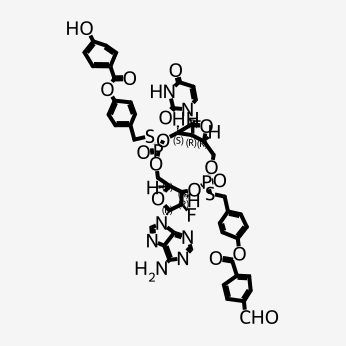 Nc1ncnc2c1ncn2[C@@H]1O[C@@H]2COP(=O)(SCc3ccc(OC(=O)c4ccc(O)cc4)cc3)O[C@@H]3[C@H](F)[C@@H](COP(=O)(SCc4ccc(OC(=O)c5ccc(C=O)cc5)cc4)O[C@H]2[C@H]1F)O[C@H]3n1ccc(=O)[nH]c1=O